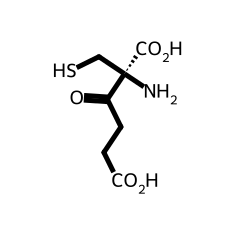 N[C@@](CS)(C(=O)O)C(=O)CCC(=O)O